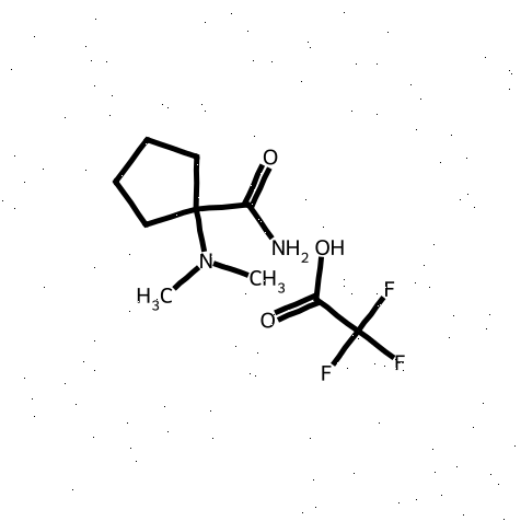 CN(C)C1(C(N)=O)CCCC1.O=C(O)C(F)(F)F